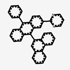 c1ccc(-c2c3ccccc3c(-c3cc4ccccc4c4ccccc34)c3cc(-c4ncccn4)ccc23)cc1